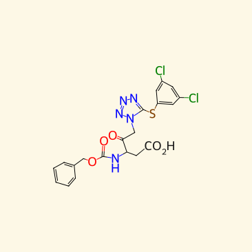 O=C(O)CC(NC(=O)OCc1ccccc1)C(=O)Cn1nnnc1Sc1cc(Cl)cc(Cl)c1